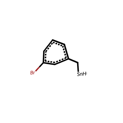 Brc1cccc([CH2][SnH])c1